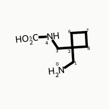 NCC1(CNC(=O)O)CCC1